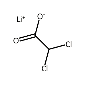 O=C([O-])C(Cl)Cl.[Li+]